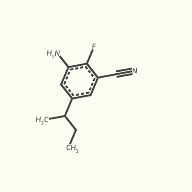 CCC(C)c1cc(N)c(F)c(C#N)c1